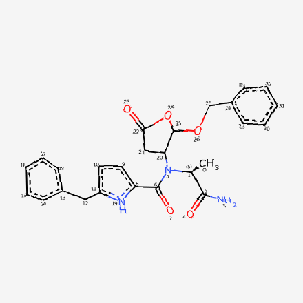 C[C@@H](C(N)=O)N(C(=O)c1ccc(Cc2ccccc2)[nH]1)C1CC(=O)OC1OCc1ccccc1